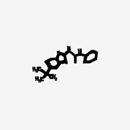 CC(C)(C)c1ccc2nc(NC(=S)Nc3ccccc3)sc2c1